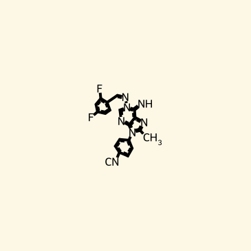 [C-]#[N+]c1ccc(-n2c(C)nc3c(=N)n(/N=C\c4ccc(F)cc4F)cnc32)cc1